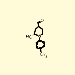 Cc1ccc(N2CCC(C=O)CC2)cc1.Cl